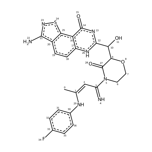 C/C(=C/C(=N)N1CCOC(C(O)c2nc(=O)c3c(ccc4c(N)nsc43)[nH]2)C1=O)Nc1ccc(F)cc1